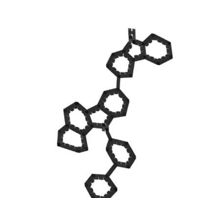 c1ccc(-c2cccc(-n3c4ccc(-c5ccc6[nH]c7ccccc7c6c5)cc4c4ccc5ccccc5c43)c2)cc1